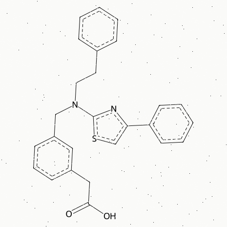 O=C(O)Cc1cccc(CN(CCc2ccccc2)c2nc(-c3ccccc3)cs2)c1